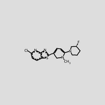 CN1CC(c2nc3nc(Cl)ccc3s2)=CC=C1N1CCC[C@H](F)C1